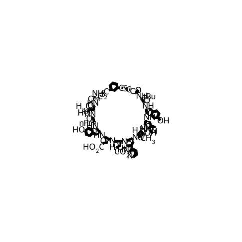 CCC[C@@H]1NC(=O)[C@H](Cc2ccc(O)cc2)NC(=O)[C@H](CCC(=O)O)NC(=O)[C@H](CCC(=O)O)NC(=O)[C@H](Cc2c[nH]c3ncccc23)NC(=O)[C@H]([C@@H](C)O)NC(=O)[C@H](Cc2cnc[nH]2)NC(=O)[C@H](Cc2ccc(O)cc2)NC(=O)[C@H](C(C)(C)C)NC(=O)CCSCc2cccc(c2)CSC[C@@H](C(N)=O)NC(=O)[C@H]([C@@H](C)O)NC1=O